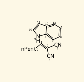 CCCCCC=C(C#N)C#N.c1ccc2[nH]ccc2c1